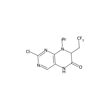 CC(C)N1c2nc(Cl)ncc2NC(=O)C1CC(F)(F)F